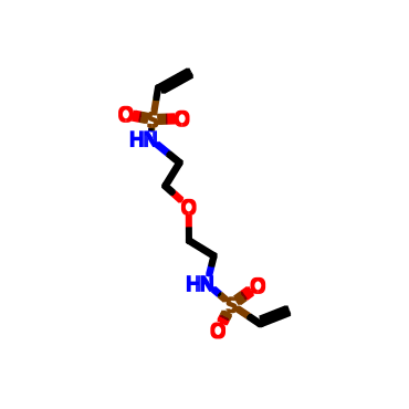 C=CS(=O)(=O)NCCOCCNS(=O)(=O)C=C